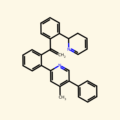 C=C(c1ccccc1-c1cc(C)c(-c2ccccc2)cn1)c1ccccc1C1CC=CC=N1